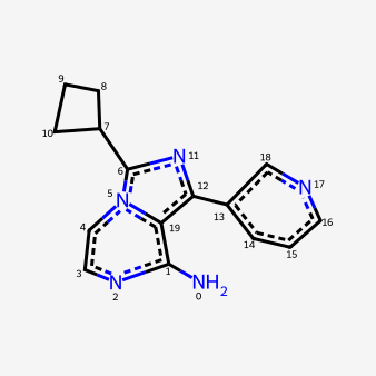 Nc1nccn2c(C3CCC3)nc(-c3cccnc3)c12